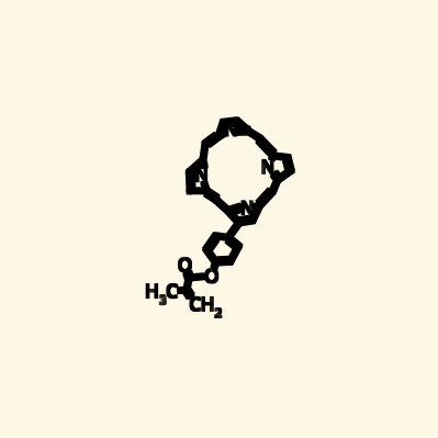 C=C(C)C(=O)Oc1ccc(C2=CC3=CC4=NC(=CC5=NC(=CC6=NC(=CC2=N3)C=C6)C=C5)C=C4)cc1